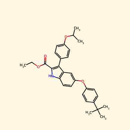 CCOC(=O)c1[nH]c2ccc(Oc3ccc(C(C)(C)C)cc3)cc2c1-c1ccc(OC(C)C)cc1